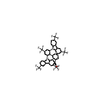 N#Cc1cccc(-c2c(-n3c4ccc(C(F)(F)F)cc4c4cc(C(F)(F)F)ccc43)cc(C(F)(F)F)cc2-n2c3ccc(C(F)(F)F)cc3c3cc(C(F)(F)F)ccc32)c1